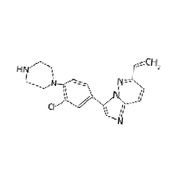 C=Cc1ccc2ncc(-c3ccc(N4CCNCC4)c(Cl)c3)n2n1